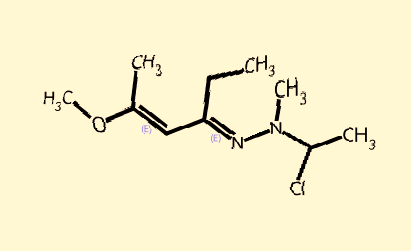 CCC(/C=C(\C)OC)=N\N(C)C(C)Cl